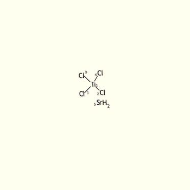 [Cl][Ti]([Cl])([Cl])[Cl].[SrH2]